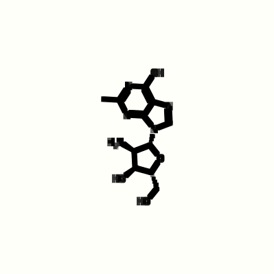 Cc1nc(O)c2ncn([C@@H]3O[C@H](CO)[C@@H](O)[C@H]3N)c2n1